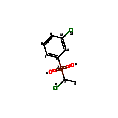 CC(Cl)S(=O)(=O)c1cc[c]c(Cl)c1